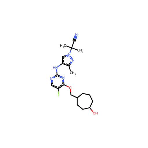 Cc1nn(C(C)(C)C#N)cc1Nc1ncc(F)c(OCC2CCCC(O)CC2)n1